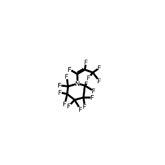 F/C(=C(\F)C(F)(F)F)N1C(F)(F)C(F)(F)C(F)(F)C(F)(F)C1(F)F